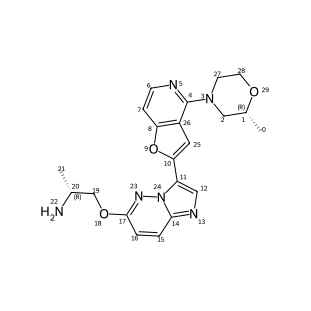 C[C@@H]1CN(c2nccc3oc(-c4cnc5ccc(OC[C@@H](C)N)nn45)cc23)CCO1